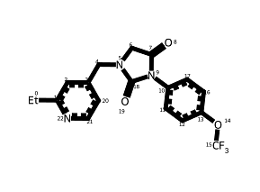 CCc1cc(CN2CC(=O)N(c3ccc(OC(F)(F)F)cc3)C2=O)ccn1